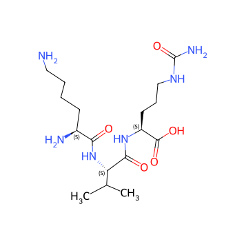 CC(C)[C@H](NC(=O)[C@@H](N)CCCCN)C(=O)N[C@@H](CCCNC(N)=O)C(=O)O